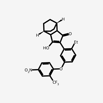 CCc1ccc(Oc2ccc([N+](=O)[O-])cc2C(F)(F)F)cc1C1=C(O)C2C(C1=O)[C@H]1CC[C@@H]2CC1